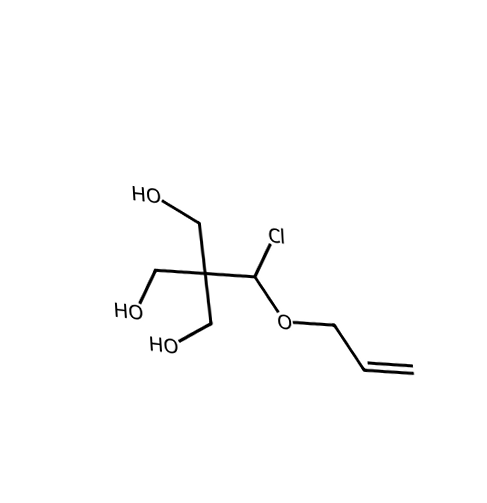 C=CCOC(Cl)C(CO)(CO)CO